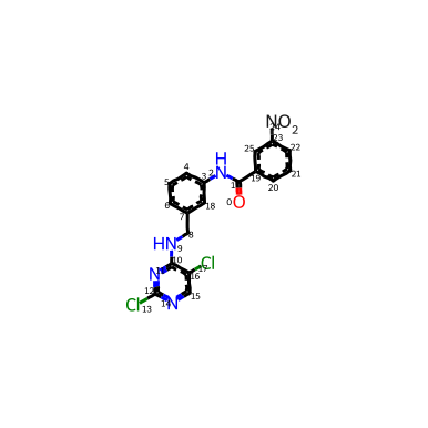 O=C(Nc1cccc(CNc2nc(Cl)ncc2Cl)c1)c1cccc([N+](=O)[O-])c1